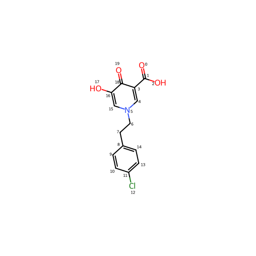 O=C(O)c1cn(CCc2ccc(Cl)cc2)cc(O)c1=O